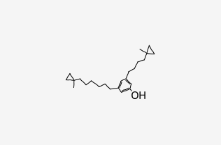 CC1(CCCCCCc2cc(O)cc(CCCCC3(C)CC3)c2)CC1